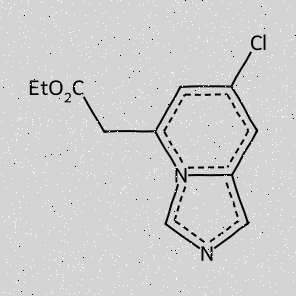 CCOC(=O)Cc1cc(Cl)cc2cncn12